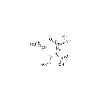 Cl.Cl.Cl.O=C(O)[C@H](CCS)n1c(=O)c1=O.[Rh]